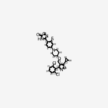 O=c1[nH]c(-c2ccc(N3CCC(OCc4c(-c5c(Cl)cccc5Cl)noc4C4CC4)CC3)cc2F)no1